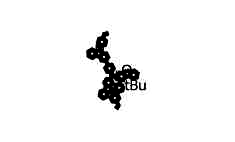 C=Cc1ccc(-n2c3ccccc3c3cc(-c4ccc(N(c5ccc6c(c5)C(c5ccc(C=C)cc5)(c5ccc(C(C)(C)C)cc5)c5ccccc5-6)c5ccc6c(c5)oc5ccccc56)cc4)ccc32)cc1